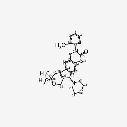 Cc1ccccc1N1Cc2nc3c(nc2SC1=O)C(N1CCOCC1)C1=C3CC(C)(C)OC1